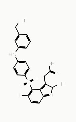 CCc1cccc(Nc2ccc(S(=O)(=O)c3c(F)ccc4c3=C(CC(=O)O)C(C)N=4)cc2)c1